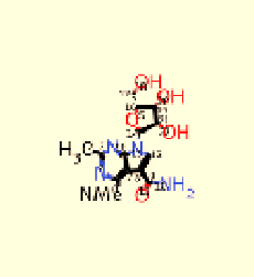 CNc1nc(C)nc2c1c(C(N)=O)cn2[C@@H]1O[C@H](CO)[C@@H](O)[C@H]1O